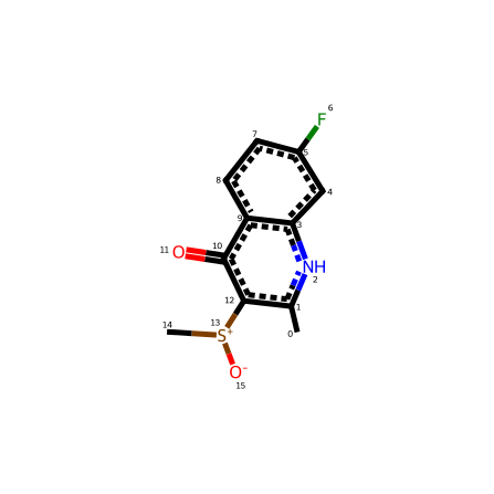 Cc1[nH]c2cc(F)ccc2c(=O)c1[S+](C)[O-]